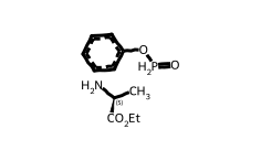 CCOC(=O)[C@H](C)N.O=[PH2]Oc1ccccc1